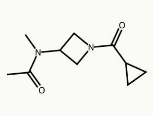 CC(=O)N(C)C1CN(C(=O)C2CC2)C1